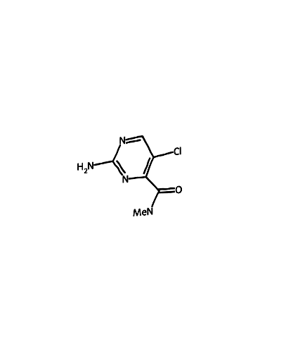 CNC(=O)c1nc(N)ncc1Cl